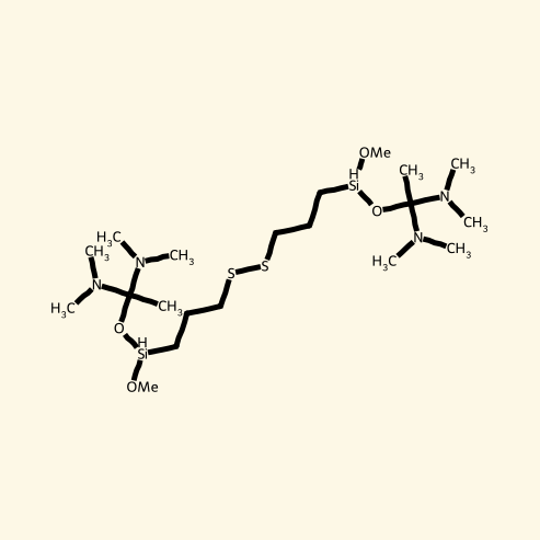 CO[SiH](CCCSSCCC[SiH](OC)OC(C)(N(C)C)N(C)C)OC(C)(N(C)C)N(C)C